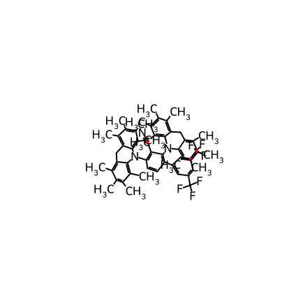 Cc1c(C)c(C)c2c(c1C)Cc1c(C)c(C)c(C)c(C)c1N2c1ccc(-c2cc(C(F)(F)F)cc(C(F)(F)F)c2)c(N2c3c(C)c(C)c(C)c(C)c3Cc3c(C)c(C)c(C)c(C)c32)c1C#N